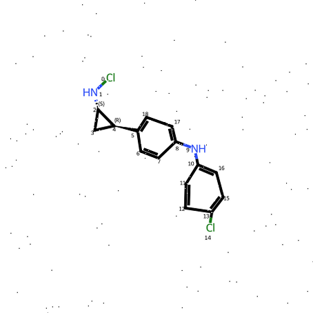 ClN[C@H]1C[C@@H]1c1ccc(Nc2ccc(Cl)cc2)cc1